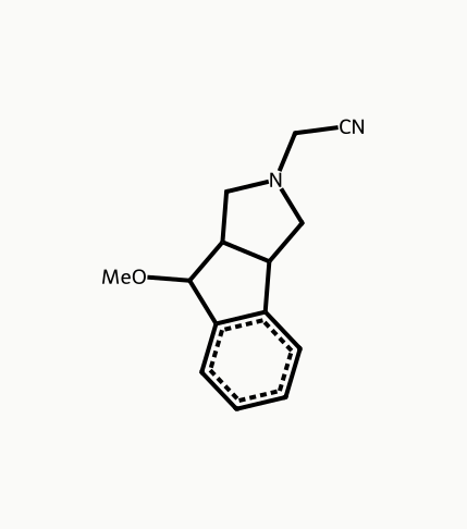 COC1c2ccccc2C2CN(CC#N)CC21